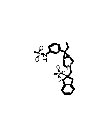 CCC1(c2cccc(NS(C)(=O)=O)c2)C2CN(CC3(OS(C)(=O)=O)Cc4ccccc4C3)CC21